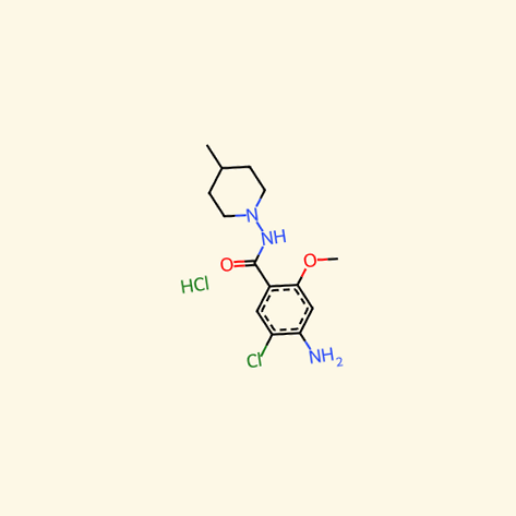 COc1cc(N)c(Cl)cc1C(=O)NN1CCC(C)CC1.Cl